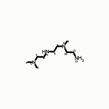 CN(C)CCNCCN(C)CCN